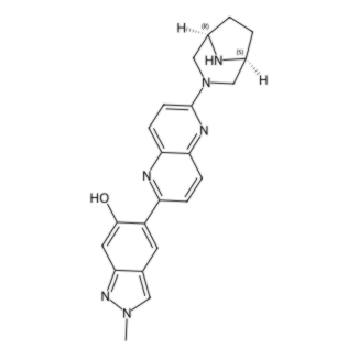 Cn1cc2cc(-c3ccc4nc(N5C[C@H]6CC[C@@H](C5)N6)ccc4n3)c(O)cc2n1